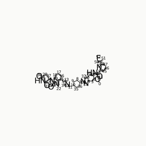 COc1cc2nn([C@H]3CC[C@@H](CN4CC(c5cccc6c5n(C)c(=O)n6C5CCC(=O)NC5=O)C4)CC3)cc2cc1NC(=O)c1cccc(C(C)(C)F)n1